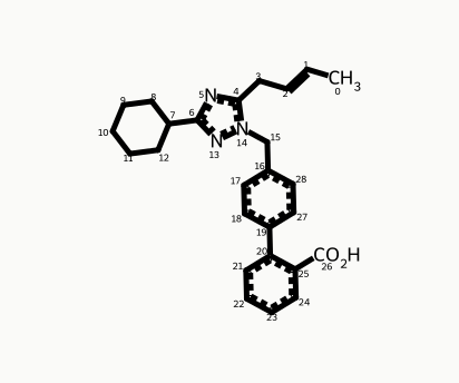 CC=CCc1nc(C2CCCCC2)nn1Cc1ccc(-c2ccccc2C(=O)O)cc1